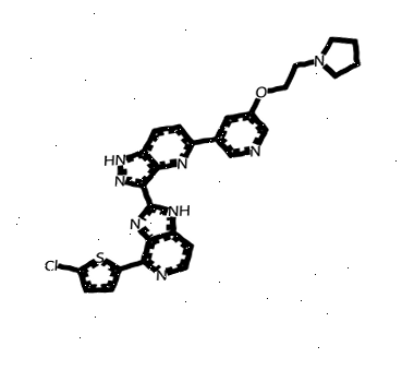 Clc1ccc(-c2nccc3[nH]c(-c4n[nH]c5ccc(-c6cncc(OCCN7CCCC7)c6)nc45)nc23)s1